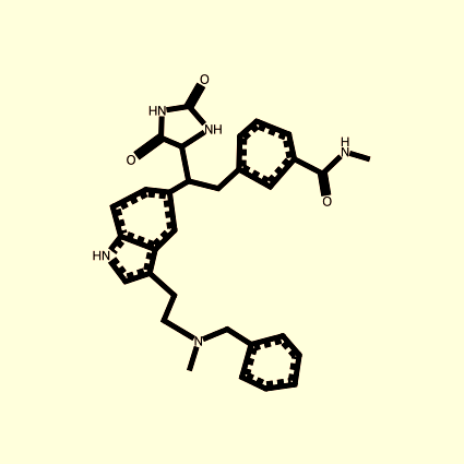 CNC(=O)c1cccc(CC(c2ccc3[nH]cc(CCN(C)Cc4ccccc4)c3c2)C2NC(=O)NC2=O)c1